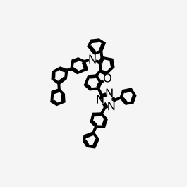 c1ccc(-c2ccc(-c3nc(-c4ccccc4)nc(-c4cccc5c4oc4ccc6c7ccccc7n(-c7ccc(-c8cccc(-c9ccccc9)c8)cc7)c6c45)n3)cc2)cc1